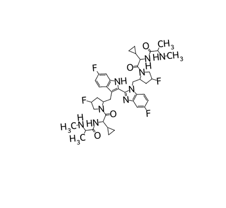 CNC(C)C(=O)NC(C(=O)N1CC(F)CC1Cc1c(-c2nc3cc(F)ccc3n2CC2CC(F)CN2C(=O)C(NC(=O)C(C)NC)C2CC2)[nH]c2cc(F)ccc12)C1CC1